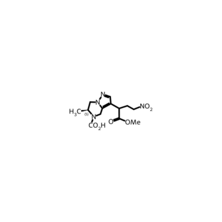 COC(=O)C(CC[N+](=O)[O-])c1cnn2c1CN(C(=O)O)[C@@H](C)C2